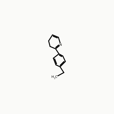 CCc1ccc(C2=NC=CCC2)cc1